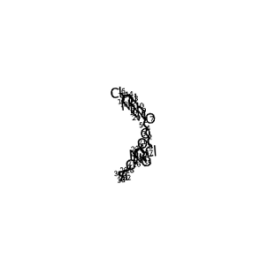 CC(COCCC(=O)N1CCN(c2ncc(Cl)cn2)CC1)Oc1cnn(COCC[Si](C)(C)C)c(=O)c1Cl